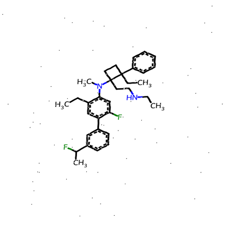 CCNCCC1(N(C)c2cc(F)c(-c3cccc(C(C)F)c3)cc2CC)CCC1(CC)c1ccccc1